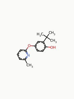 Cc1cccc(Oc2ccc(O)c(C(C)(C)C)c2)n1